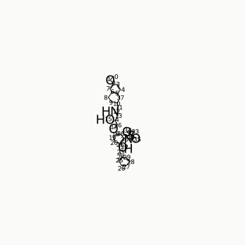 COc1ccc2c(c1)CCC(CNC[C@H](O)COc1ccc(OCc3ccccc3)c(NS(C)(=O)=O)c1)C2